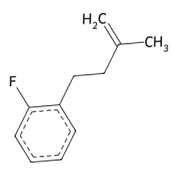 C=C(C)CCc1ccccc1F